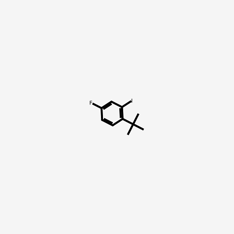 CC(C)(C)c1ccc(F)cc1I